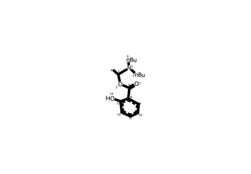 CCCCN(CCCC)C(C)OC(=O)c1ccccc1O